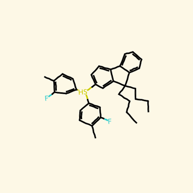 CCCCC1(CCCC)c2ccccc2-c2ccc([SH](c3ccc(C)c(F)c3)c3ccc(C)c(F)c3)cc21